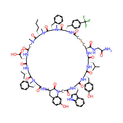 CCCC[C@H]1C(=O)N(C)CC(=O)N[C@@H](CC(=O)O)C(=O)N[C@@H](C(C)C)C(=O)N(C)[C@@H](Cc2ccccc2)C(=O)N[C@H]2Cc3ccc(O)cc3N(CC(=O)N[C@@H](Cc3c[nH]c4ccccc34)C(=O)N[C@@H](Cc3ccc(O)cc3)C(=O)N[C@@H](CC(C)C)C(=O)N[C@H](C(=O)NCC(N)=O)CSCC(=O)N[C@@H](Cc3ccc(C(F)(F)F)cc3)C(=O)N(C)[C@@H](Cc3ccccc3)C(=O)N1C)C2=O